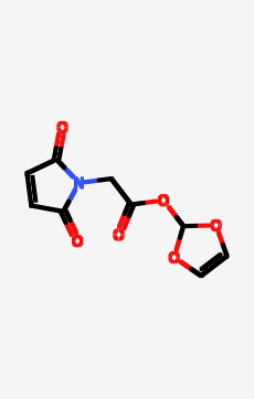 O=C(CN1C(=O)C=CC1=O)OC1OC=CO1